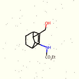 CCOC(=O)NC1C2C=CC(CC2)C1CO